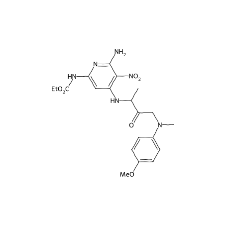 CCOC(=O)Nc1cc(NC(C)C(=O)CN(C)c2ccc(OC)cc2)c([N+](=O)[O-])c(N)n1